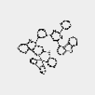 c1ccc(-c2nc(-c3cccc(-c4nc5ccccc5c5cc6c(cc45)Sc4ccccc4C64c5ccccc5-c5ccccc54)c3)cc(-c3cccc4oc5ccccc5c34)n2)cc1